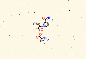 CC(=O)O[C@@H]1[C@H](C)[C@@H](COC(=O)[C@@H](N)C(C)C)O[C@H]1[n+]1cccc(C(N)=O)c1